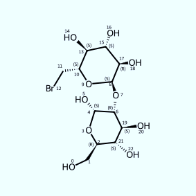 OC[C@H]1O[C@H](O)[C@H](O[C@H]2O[C@H](CBr)[C@@H](O)[C@H](O)[C@H]2O)[C@@H](O)[C@@H]1O